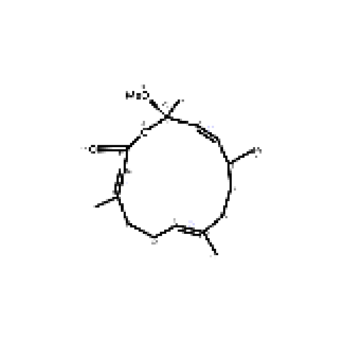 CO[C@@]1(C)/C=C\C(C(C)C)CC/C(C)=C/CC/C(C)=C/C(=O)C1